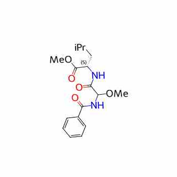 COC(=O)[C@H](CC(C)C)NC(=O)C(NC(=O)c1ccccc1)OC